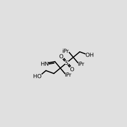 CC(C)C(C=N)(CCO)S(=O)(=O)C(CO)(C(C)C)C(C)C